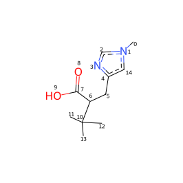 Cn1cnc(CC(C(=O)O)C(C)(C)C)c1